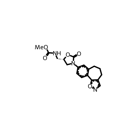 COC(=O)NC[C@H]1CN(c2ccc3c(c2)CCCc2cnoc2-3)C(=O)O1